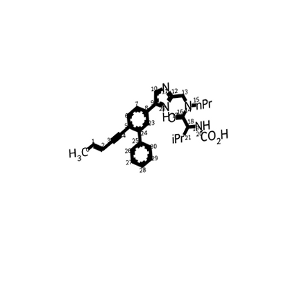 C/C=C/C#Cc1ccc(-c2cnc(CN(CCC)C(=O)C(NC(=O)O)C(C)C)[nH]2)cc1-c1ccccc1